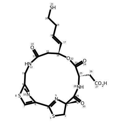 C[C@@]12CSC(=N1)c1csc(n1)CNC(=O)C[C@@H](/C=C/CCS)OC(=O)[C@H](CC(=O)O)NC2=O